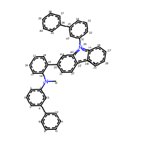 CN(c1cccc(-c2ccccc2)c1)c1ccccc1-c1ccc2c3ccccc3n(-c3cccc(-c4ccccc4)c3)c2c1